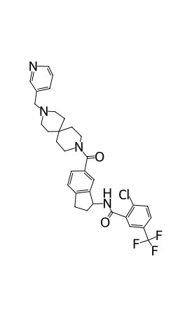 O=C(NC1CCc2ccc(C(=O)N3CCC4(CCN(Cc5cccnc5)CC4)CC3)cc21)c1cc(C(F)(F)F)ccc1Cl